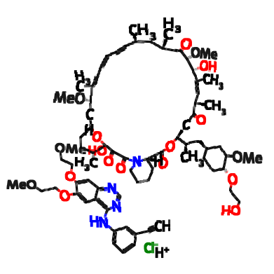 C#Cc1cccc(Nc2ncnc3cc(OCCOC)c(OCCOC)cc23)c1.CO[C@H]1C[C@@H]2CC[C@@H](C)[C@@](O)(O2)C(=O)C(=O)N2CCCC[C@H]2C(=O)O[C@H]([C@H](C)C[C@@H]2CC[C@@H](OCCO)[C@H](OC)C2)CC(=O)[C@H](C)/C=C(/C)[C@@H](O)[C@@H](OC)C(=O)[C@H](C)C[C@H](C)\C=C/C=C\C=C/1C.[Cl-].[H+]